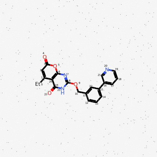 CCc1cc(=O)oc2nc(OCc3cccc(-c4cccnc4)c3)[nH]c(=O)c12